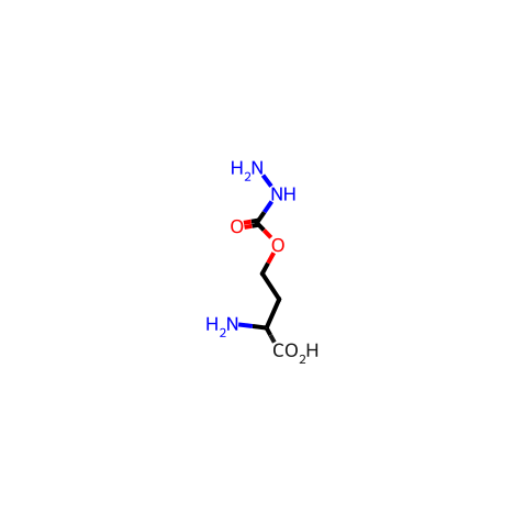 NNC(=O)OCCC(N)C(=O)O